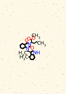 CCCC(C(=O)OC)n1c(=O)c2ccccc2n(C(C)c2c[nH]c3cccc(C)c23)c1=O